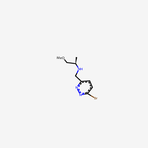 COC[C@@H](C)NCc1ccc(Br)nn1